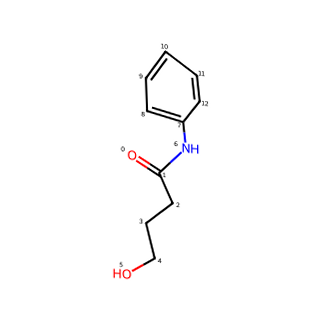 O=C(CCCO)Nc1ccccc1